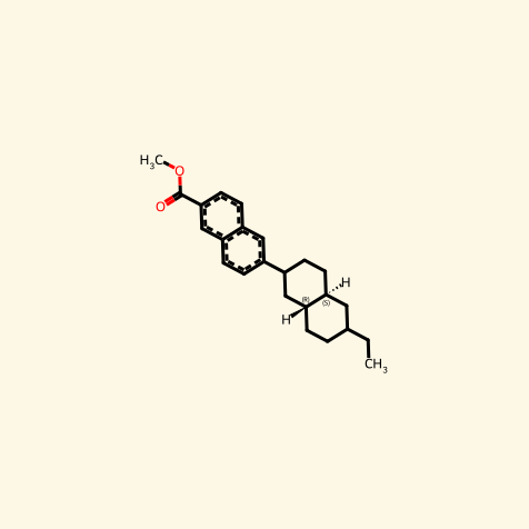 CCC1CC[C@@H]2CC(c3ccc4cc(C(=O)OC)ccc4c3)CC[C@H]2C1